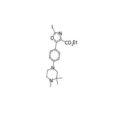 CCOC(=O)c1nc(I)oc1-c1ccc(N2CCN(C)C(C)(C)C2)cc1